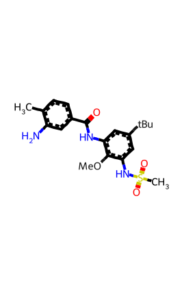 COc1c(NC(=O)c2ccc(C)c(N)c2)cc(C(C)(C)C)cc1NS(C)(=O)=O